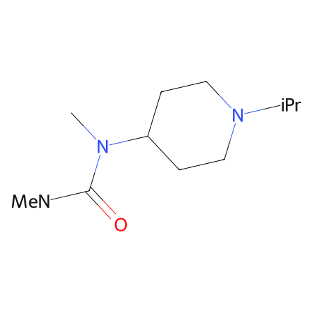 CNC(=O)N(C)C1CCN(C(C)C)CC1